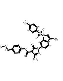 CONc1ccc(OC(=O)C2C(=O)N(c3ccc4c(C)cn(S(=O)(=O)c5ccc(C)cc5)c4c3)N=C2C)cc1